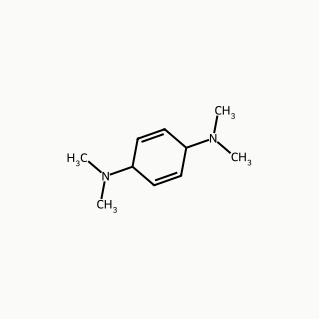 CN(C)C1C=CC(N(C)C)C=C1